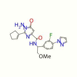 COCC(NC(=O)c1cc(=O)n(N)c(C2=CCCC2)n1)c1ccc(-n2cccn2)c(F)c1